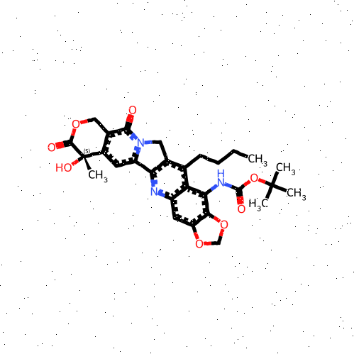 CCCCc1c2c(nc3cc4c(c(NC(=O)OC(C)(C)C)c13)OCO4)-c1cc3c(c(=O)n1C2)COC(=O)[C@@]3(C)O